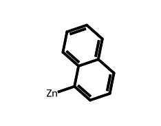 [Zn][c]1cccc2ccccc12